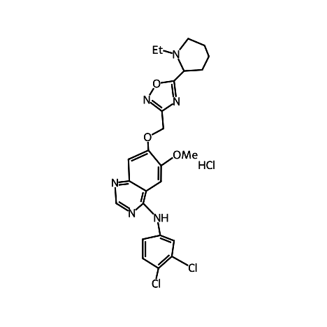 CCN1CCCCC1c1nc(COc2cc3ncnc(Nc4ccc(Cl)c(Cl)c4)c3cc2OC)no1.Cl